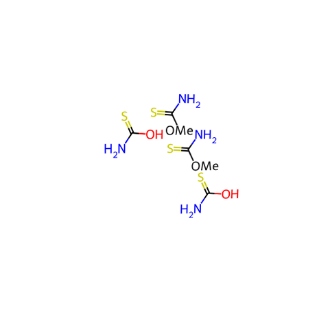 COC(N)=S.COC(N)=S.NC(O)=S.NC(O)=S